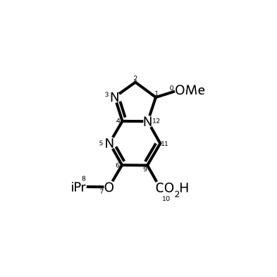 COC1CN=C2N=C(OC(C)C)C(C(=O)O)=CN21